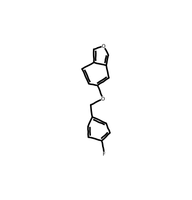 Fc1ccc(COc2ccc3cocc3c2)cc1